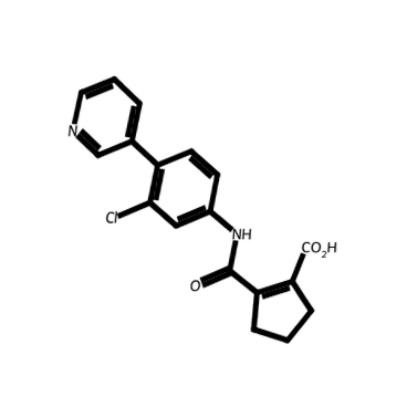 O=C(O)C1=C(C(=O)Nc2ccc(-c3cccnc3)c(Cl)c2)CCC1